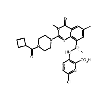 Cc1cc([C@H](C)Nc2ccc(Cl)nc2C(=O)O)c2nc(N3CCN(C(=O)C4CCC4)CC3)n(C)c(=O)c2c1